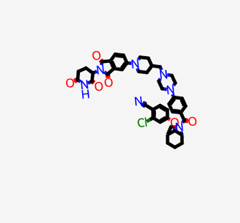 N#Cc1ccc(OC2C3CCCC2N(C(=O)c2ccc(N4CCN(CC5CCN(c6ccc7c(c6)C(=O)N(C6CCC(=O)NC6=O)C7=O)CC5)CC4)cc2)C3)cc1Cl